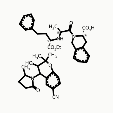 CC1CCC(=O)N1C1c2cc(C#N)ccc2OC(C)(C)C1O.CCOC(=O)[C@H](CCc1ccccc1)N[C@@H](C)C(=O)N1Cc2ccccc2C[C@H]1C(=O)O